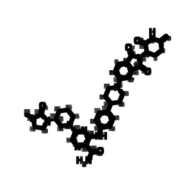 C=C1CCC(N2C(=O)c3ccc(N4CCC(c5ccc(Nc6nc(N7CCC[C@@H](N8CCN(C)C8=O)C7)cnc6C(N)=O)cc5)CC4)cc3C2=O)C(=O)N1